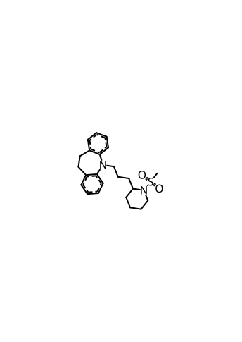 CS(=O)(=O)N1CCCCC1CCCN1c2ccccc2CCc2ccccc21